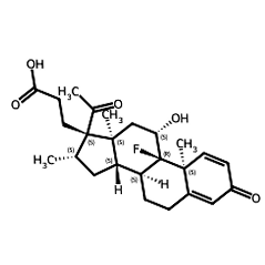 CC(=O)[C@@]1(CCC(=O)O)[C@@H](C)C[C@H]2[C@@H]3CCC4=CC(=O)C=C[C@]4(C)[C@@]3(F)[C@@H](O)C[C@@]21C